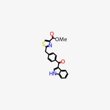 COC(=O)c1csc(Cc2ccc(C(=O)c3c[nH]c4ccccc34)cc2)n1